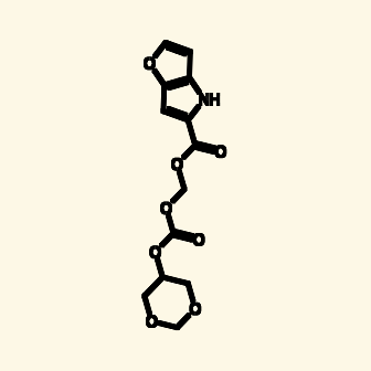 O=C(OCOC(=O)c1cc2occc2[nH]1)OC1COCOC1